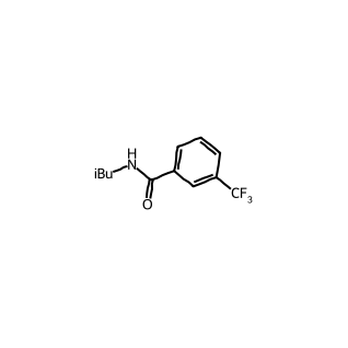 CCC(C)NC(=O)c1cccc(C(F)(F)F)c1